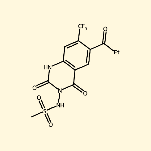 CCC(=O)c1cc2c(=O)n(NS(C)(=O)=O)c(=O)[nH]c2cc1C(F)(F)F